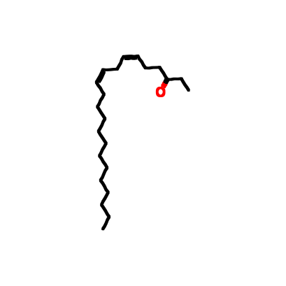 CCCCCCCCCCCC/C=C\C/C=C\CCC(=O)CC